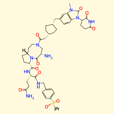 CC(C)S(=O)(=O)c1ccc(CNC(=O)[C@H](CCC(N)=O)NC(=O)[C@@H]2CC[C@@H]3CCN(C(=O)C[C@H]4CC[C@@H](Cc5ccc6c(c5)n(C)c(=O)n6C5CCC(=O)NC5=O)CC4)C[C@H](N)C(=O)N32)cc1